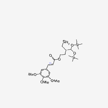 COc1cc(/C=C/C(=O)OCCC(C[SiH3])C(O[Si](C)(C)C)O[Si](C)(C)C)cc(OC)c1OC